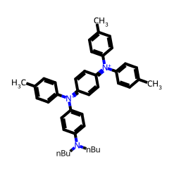 CCCCN(CCCC)c1ccc([N+](=C2C=CC(=[N+](c3ccc(C)cc3)c3ccc(C)cc3)C=C2)c2ccc(C)cc2)cc1